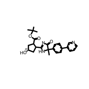 CC(C)(C)OC(=O)C1C[C@H](O)CC1C1=NC(=O)C(C)(c2ccc(-c3cccnc3)cc2)N1